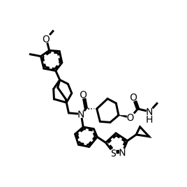 CNC(=O)O[C@H]1CC[C@H](C(=O)N(CC23CCC(c4ccc(OC)c(C)c4)(CC2)CC3)c2cccc(-c3cc(C4CC4)ns3)c2)CC1